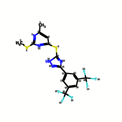 CSc1nc(C)cc(Sc2nc(-c3cc(C(F)(F)F)cc(C(F)(F)F)c3)n[nH]2)n1